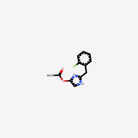 COC(=O)Oc1c[nH]c(Cc2ccccc2F)n1